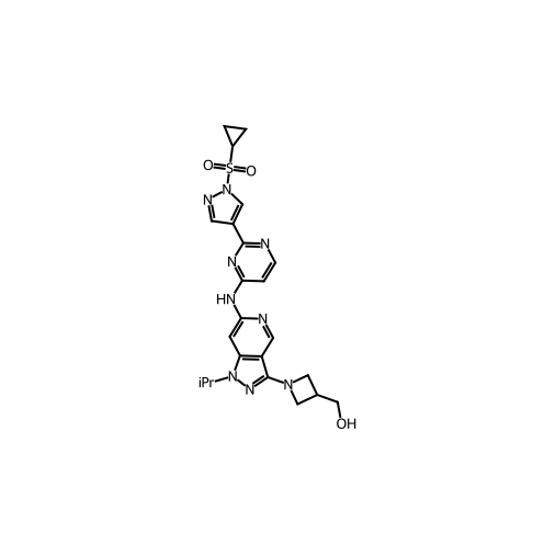 CC(C)n1nc(N2CC(CO)C2)c2cnc(Nc3ccnc(-c4cnn(S(=O)(=O)C5CC5)c4)n3)cc21